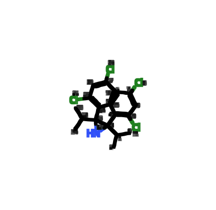 CC(C)C1(c2ccc(Cl)cc2Cl)NC1(c1ccc(Cl)cc1Cl)C(C)C